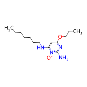 CCCCCCCNc1cc(OCCC)nc(N)[n+]1[O-]